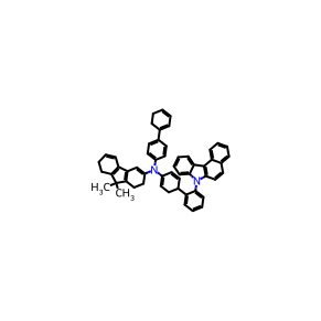 CC1(C)C2=C(C=CCC2)C2=C1CCC(N(C1=CCC(c3ccccc3-n3c4ccccc4c4c5ccccc5ccc43)C=C1)c1ccc(C3=CC=CCC3)cc1)=C2